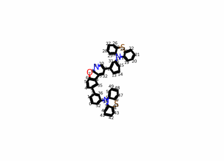 c1cc(-c2ccc3oc4ncc(-c5cccc(N6c7ccccc7Sc7ccccc76)c5)cc4c3c2)cc(N2c3ccccc3Sc3ccccc32)c1